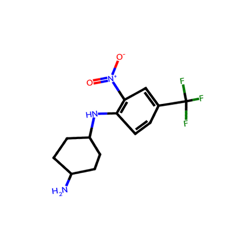 NC1CCC(Nc2ccc(C(F)(F)F)cc2[N+](=O)[O-])CC1